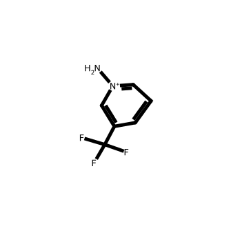 N[n+]1cccc(C(F)(F)F)c1